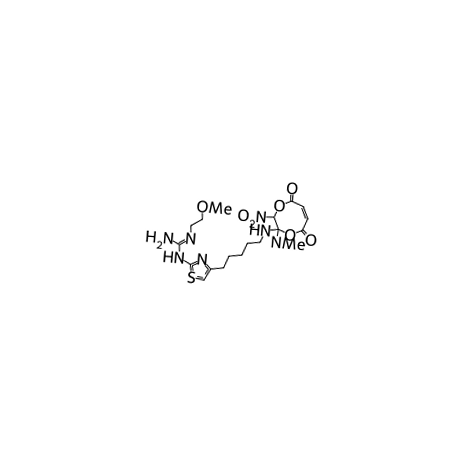 CNC1(NCCCCCc2csc(NC(N)=NCCOC)n2)OC(=O)C=CC(=O)OC1[N+](=O)[O-]